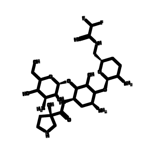 N=C(NC[C@@H]1CCC(N)[C@@H](OC2C(O)C(O[C@H]3OC(CO)C(O)[C@H](N)C3O)[C@H](NC(=O)[C@@]3(O)CCNC3)C[C@@H]2N)O1)C(F)F